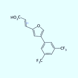 O=C(O)/C=C/c1cc(-c2cc(C(F)(F)F)cc(C(F)(F)F)c2)co1